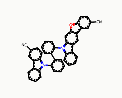 N#Cc1ccc2oc3cc4c(cc3c2c1)c1ccccc1n4-c1ccccc1-c1ccccc1-n1c2ccccc2c2cc(C#N)ccc21